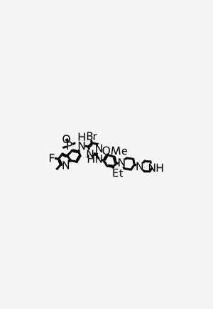 CCc1cc(Nc2ncc(Br)c(Nc3ccc4nc(C)c(F)cc4c3P(C)(C)=O)n2)c(OC)cc1N1CCC(N2CCNCC2)CC1